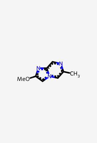 COc1cn2cc(C)ncc2n1